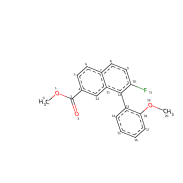 COC(=O)c1ccc2ccc(F)c(-c3ccccc3OC)c2c1